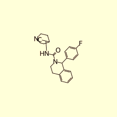 O=C(NC1CN2CCC1CC2)N1CCc2ccccc2C1c1ccc(F)cc1